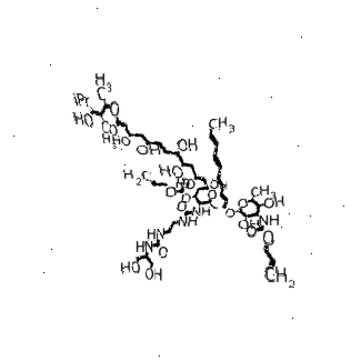 C=CCOC(=O)N[C@@H]1[C@H](O)[C@H](O[C@@H](/C=C/C=C/C=C/C=C/C)C[C@@H]2O[C@](O)(C[C@@H](O)C[C@@H](O)[C@H](O)CC[C@@H](O)C[C@@H](O)CC(=O)O[C@@H](C)[C@H](C)[C@H](O)C(C)C)C[C@H](OC(=O)OCC=C)[C@H]2NC(=O)NCCNC(=O)NC(CO)CO)O[C@H](C)[C@H]1O